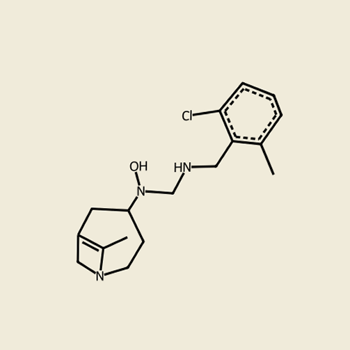 CC1=C2CC(N(O)CNCc3c(C)cccc3Cl)CCN1C2